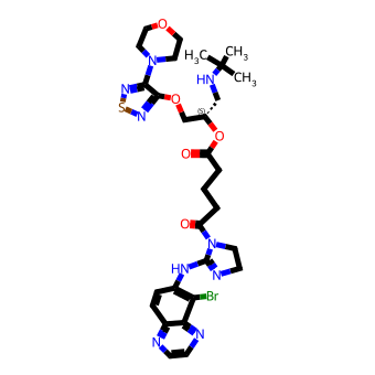 CC(C)(C)NC[C@@H](COc1nsnc1N1CCOCC1)OC(=O)CCCC(=O)N1CCN=C1Nc1ccc2nccnc2c1Br